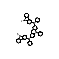 CCn1c2ccccc2c2cc(N(c3ccccc3)c3ccc4c(c3)Cc3cc(N(c5ccccc5)c5ccc6c(c5)c5ccccc5n6CC)ccc3N4c3ccccc3)ccc21